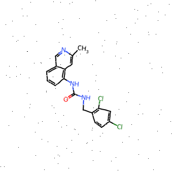 Cc1cc2c(NC(=O)NCc3ccc(Cl)cc3Cl)cccc2cn1